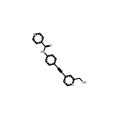 O=C(Nc1ccc(C#Cc2ccnc(CO)c2)cc1)c1ccncc1